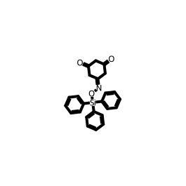 O=C1CC(=O)CC(=NO[Si](c2ccccc2)(c2ccccc2)c2ccccc2)C1